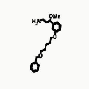 COC(CCN)c1cccc(OCCCCCOCc2ccccc2)c1